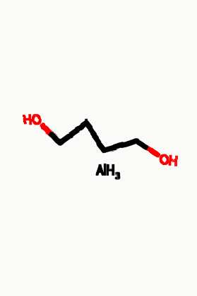 OC[CH]CCO.[AlH3]